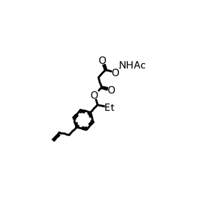 C=CCc1ccc(C(CC)OC(=O)CC(=O)ONC(C)=O)cc1